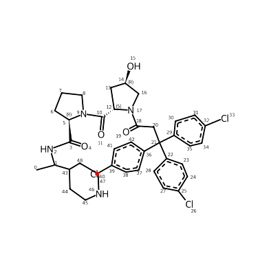 CC(NC(=O)[C@H]1CCCN1C(=O)[C@@H]1C[C@@H](O)CN1C(=O)CC(c1ccc(Cl)cc1)(c1ccc(Cl)cc1)c1ccc(Cl)cc1)C1CCNCC1